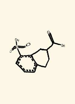 O=C(O)C1CCc2cccc(S(=O)(=O)O)c2C1